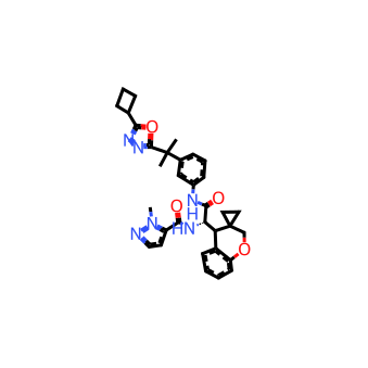 Cn1nccc1C(=O)N[C@H](C(=O)Nc1cccc(C(C)(C)c2nnc(C3CCC3)o2)c1)C1c2ccccc2OCC12CC2